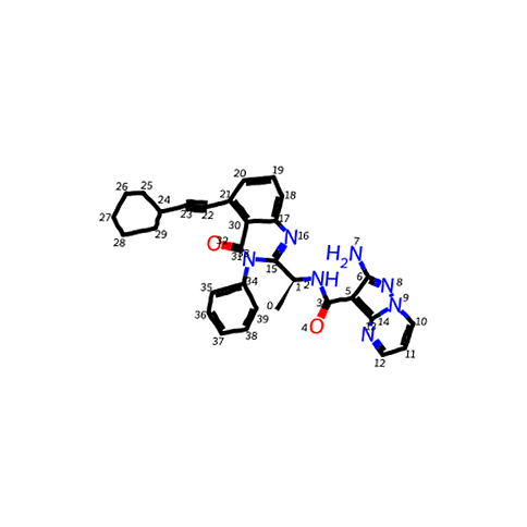 C[C@H](NC(=O)c1c(N)nn2cccnc12)c1nc2cccc(C#CC3CCCCC3)c2c(=O)n1-c1ccccc1